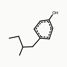 CC[C](C)Cc1ccc(O)cc1